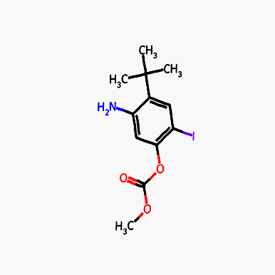 COC(=O)Oc1cc(N)c(C(C)(C)C)cc1I